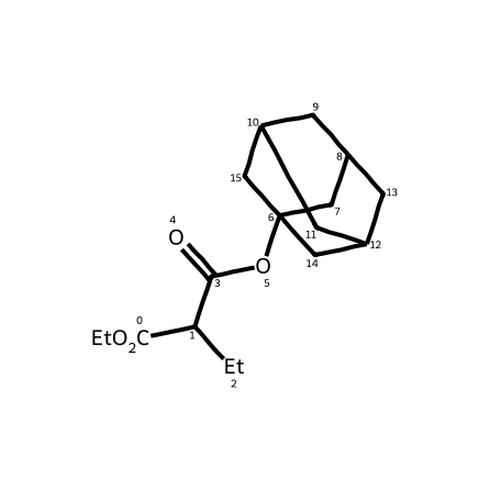 CCOC(=O)C(CC)C(=O)OC12CC3CC(CC(C3)C1)C2